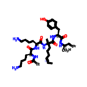 C/C=C\CCCC(C)(NC(=O)[C@H](CCCCN)NC(=O)[C@H](CCCCN)NC(=O)CC)C(=O)N[C@@H](Cc1ccc(O)cc1)C(=O)N[C@@H](CC(C)C)C(=O)O